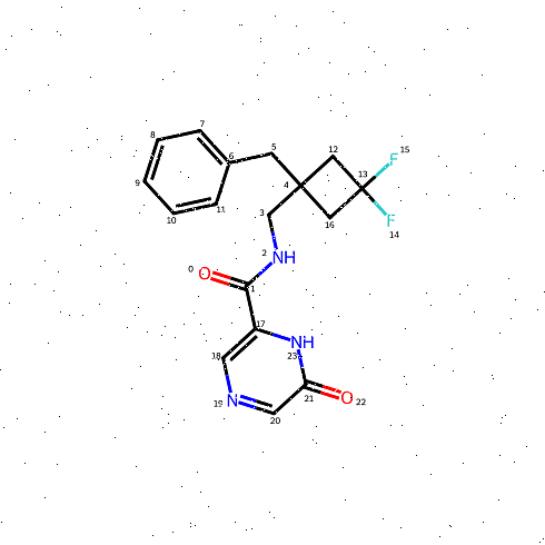 O=C(NCC1(Cc2ccccc2)CC(F)(F)C1)c1cncc(=O)[nH]1